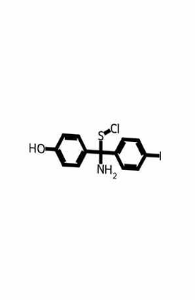 NC(SCl)(c1ccc(O)cc1)c1ccc(I)cc1